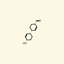 O=N[C@@H]1C=CC([C@H]2C=C[C@@H](O)CC2)CC1